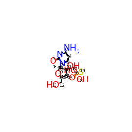 C[C@@]1(n2ccc(N)nc2=O)O[C@H](CO)[C@@H](OP(O)(O)=S)[C@H]1O